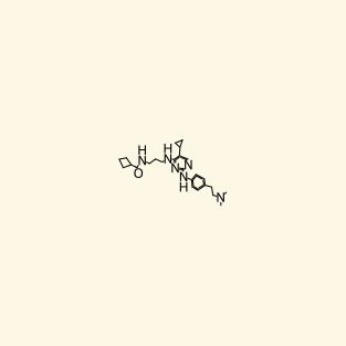 CN(C)CCc1ccc(Nc2ncc(C3CC3)c(NCCCNC(=O)C3CCC3)n2)cc1